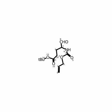 C=CCOC(=O)NC(C=O)CCC(=O)OC(C)(C)C